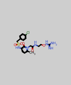 Cc1ccc(NS(=O)(=O)Cc2ccc(Cl)cc2)c(=O)n1CC(=O)NCCONC(=N)N